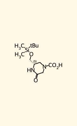 CC(C)(C)[Si](C)(C)OC[C@@H]1CN(C(=O)O)CC(=O)N1